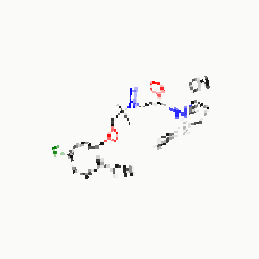 C#C[C@H]1CC[C@@H](C#N)N1C(=O)CNC(C)(C)COc1cc(F)ccc1C#N